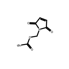 CC(C)(C)C(=O)OCN1C(=O)C=CC1=O